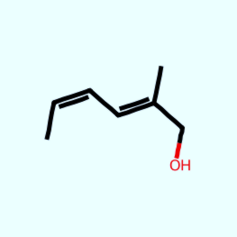 C/C=C\C=C(/C)CO